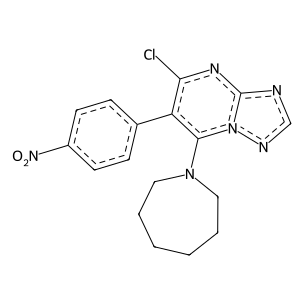 O=[N+]([O-])c1ccc(-c2c(Cl)nc3ncnn3c2N2CCCCCC2)cc1